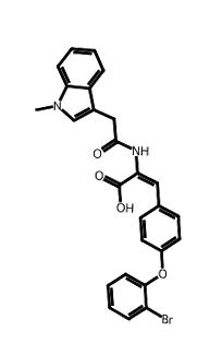 Cn1cc(CC(=O)NC(=Cc2ccc(Oc3ccccc3Br)cc2)C(=O)O)c2ccccc21